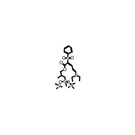 CCN(/C=C/C=C(\C(=O)OCC(C)C[Si](C)(O[Si](C)(C)C)O[Si](C)(C)C)S(=O)(=O)c1ccccc1)CC